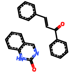 O=C(C=Cc1ccccc1)c1ccccc1.O=c1ncc2ccccc2[nH]1